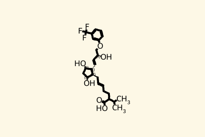 CC(C)C(CCC=CC[C@@H]1[C@@H](C=C[C@@H](O)COc2cccc(C(F)(F)F)c2)[C@H](O)C[C@@H]1O)C(=O)O